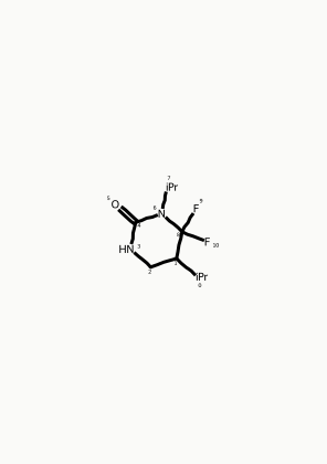 CC(C)C1CNC(=O)N(C(C)C)C1(F)F